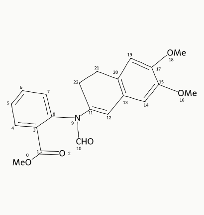 COC(=O)c1ccccc1N(C=O)C1=Cc2cc(OC)c(OC)cc2CC1